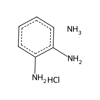 Cl.N.Nc1ccccc1N